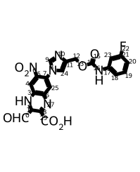 O=CC1Nc2cc([N+](=O)[O-])c(-n3cnc(COC(=O)Nc4cccc(F)c4)c3)cc2N=C1C(=O)O